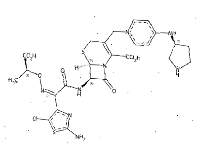 C[C@H](O/N=C(\C(=O)N[C@@H]1C(=O)N2C(C(=O)O)=C(C[n+]3ccc(N[C@H]4CCNC4)cc3)CS[C@H]12)c1nc(N)sc1Cl)C(=O)O